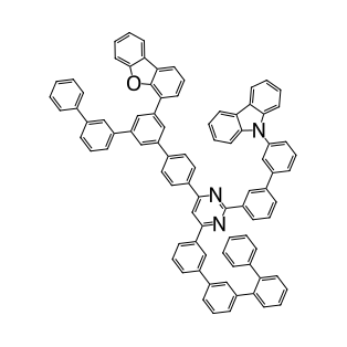 c1ccc(-c2cccc(-c3cc(-c4ccc(-c5cc(-c6cccc(-c7cccc(-c8ccccc8-c8ccccc8)c7)c6)nc(-c6cccc(-c7cccc(-n8c9ccccc9c9ccccc98)c7)c6)n5)cc4)cc(-c4cccc5c4oc4ccccc45)c3)c2)cc1